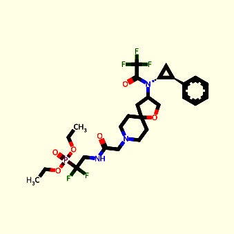 CCOP(=O)(OCC)C(F)(F)CNC(=O)CN1CCC2(CC1)CC(N(C(=O)C(F)(F)F)[C@@H]1C[C@H]1c1ccccc1)CO2